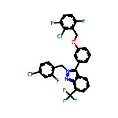 Fc1cc(Cl)ccc1Cn1nc2c(C(F)(F)F)cccc2c1-c1cccc(OCc2c(F)ccc(F)c2Cl)c1